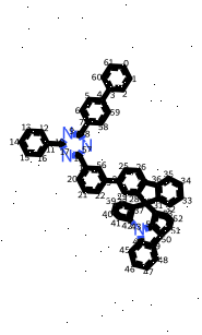 c1ccc(-c2ccc(-c3nc(-c4ccccc4)nc(-c4cccc(-c5ccc6c(c5)C5(c7ccccc7-6)c6ccccc6-n6c7ccccc7c7cccc5c76)c4)n3)cc2)cc1